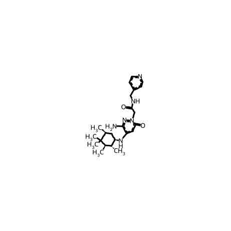 C[C@@H]1[C@@H](C)C(C)(C)[C@@H](C)C[C@H]1Nc1cc(=O)n(CC(=O)NCc2ccncc2)nc1N